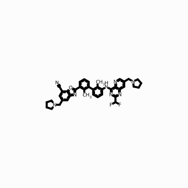 Cc1c(Nc2nc(C(F)F)nc3cc(CN4CCCC4)cnc23)cccc1-c1cccc(-c2nc3cc(CN4CCCC4)cc(C#N)c3o2)c1C